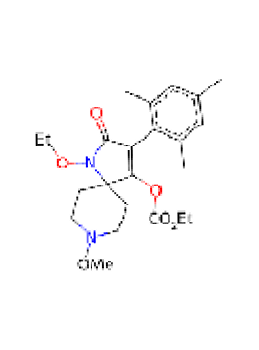 CCOC(=O)OC1=C(c2c(C)cc(C)cc2C)C(=O)N(OCC)C12CCN(OC)CC2